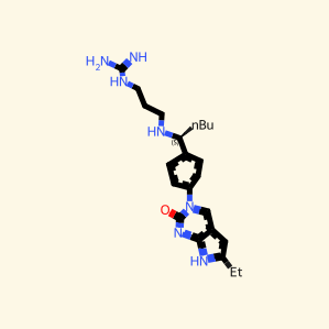 CCCC[C@H](NCCCNC(=N)N)c1ccc(-n2cc3cc(CC)[nH]c3nc2=O)cc1